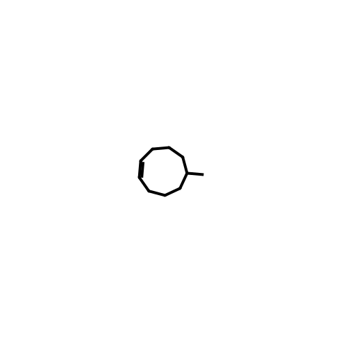 CC1CCCC=CCCC1